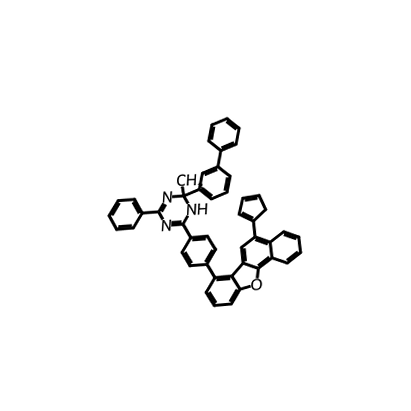 CC1(c2cccc(-c3ccccc3)c2)N=C(c2ccccc2)N=C(c2ccc(-c3cccc4oc5c6ccccc6c(C6=CC=CC6)cc5c34)cc2)N1